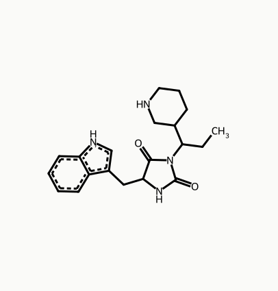 CCC(C1CCCNC1)N1C(=O)NC(Cc2c[nH]c3ccccc23)C1=O